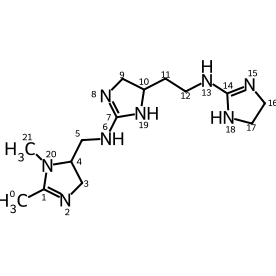 CC1=NCC(CNC2=NCC(CCNC3=NCCN3)N2)N1C